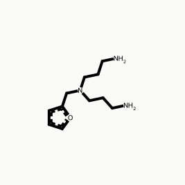 NCCCN(CCCN)Cc1ccco1